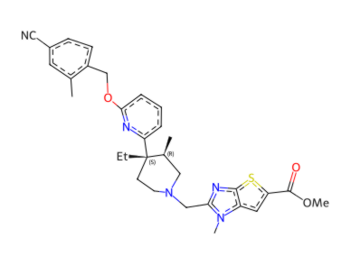 CC[C@]1(c2cccc(OCc3ccc(C#N)cc3C)n2)CCN(Cc2nc3sc(C(=O)OC)cc3n2C)C[C@@H]1C